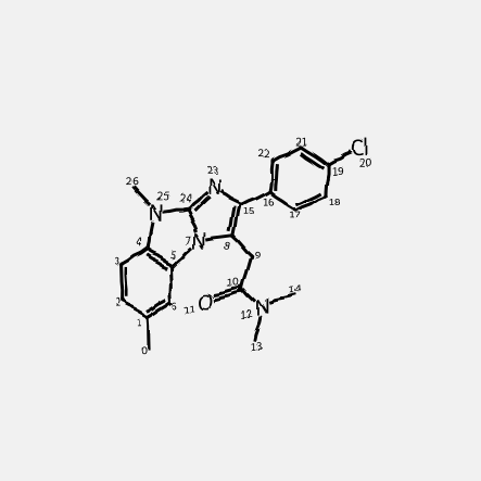 Cc1ccc2c(c1)n1c(CC(=O)N(C)C)c(-c3ccc(Cl)cc3)nc1n2C